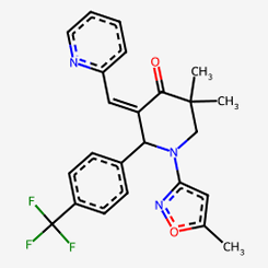 Cc1cc(N2CC(C)(C)C(=O)C(=Cc3ccccn3)C2c2ccc(C(F)(F)F)cc2)no1